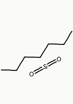 CCCCCCC.O=[Si]=O